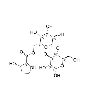 O=C(OC[C@H]1O[C@@H](O[C@H]2[C@H](O)[C@@H](O)[C@@H](O)O[C@@H]2CO)[C@H](O)[C@@H](O)[C@H]1O)[C@H]1NCCC1O